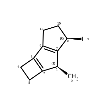 C[C@H]1C2=C(CC2)C2=C1[C@H](I)CC2